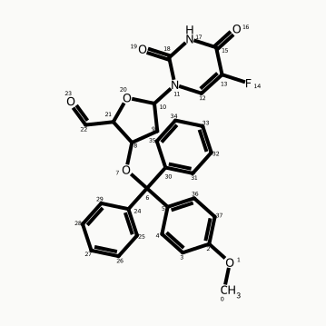 COc1ccc(C(OC2CC(n3cc(F)c(=O)[nH]c3=O)OC2C=O)(c2ccccc2)c2ccccc2)cc1